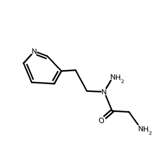 NCC(=O)N(N)CCc1cccnc1